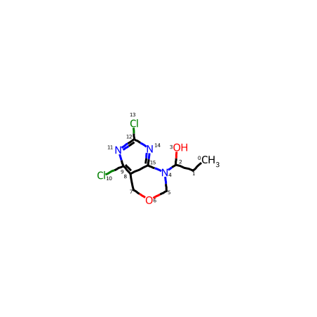 CCC(O)N1COCc2c(Cl)nc(Cl)nc21